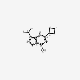 CC(C)n1ncc2c(O)nc(C3CCC3)nc21